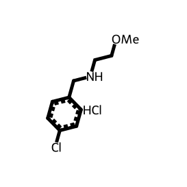 COCCNCc1ccc(Cl)cc1.Cl